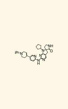 CC(C)N1CC=C(c2ccc(Nc3ncc4c(n3)N(C3CCCC3)C3(CCNC3=O)C4)nc2)CC1